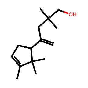 C=C(CC(C)(C)CO)C1CC=C(C)C1(C)C